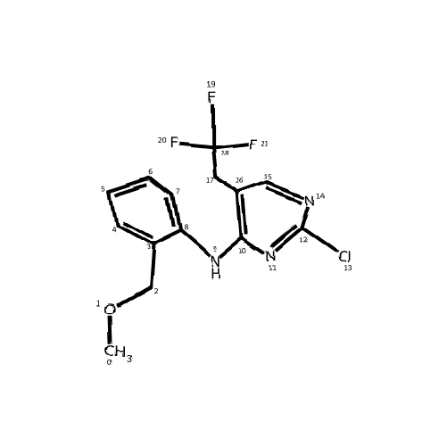 COCc1ccccc1Nc1nc(Cl)ncc1CC(F)(F)F